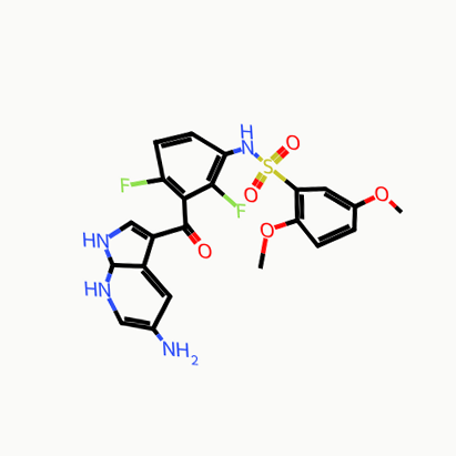 COc1ccc(OC)c(S(=O)(=O)Nc2ccc(F)c(C(=O)C3=CNC4NC=C(N)C=C34)c2F)c1